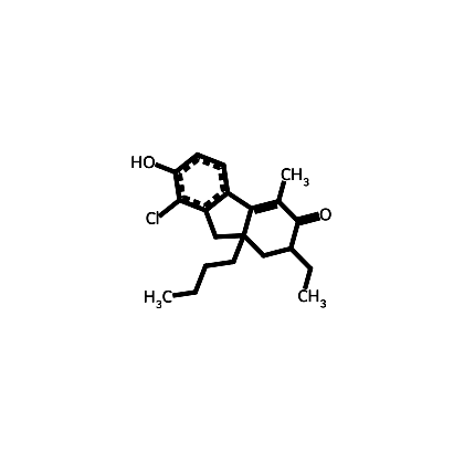 CCCCC12Cc3c(ccc(O)c3Cl)C1=C(C)C(=O)C(CC)C2